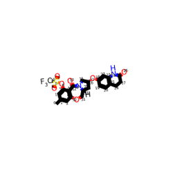 Cc1cc2c(c(OS(=O)(=O)C(F)(F)F)c1)C(=O)N1C[C@@H](Oc3ccc4c(c3)NC(=O)CC4)C[C@@H]1CO2